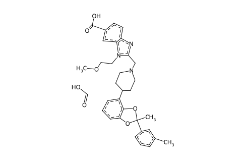 COCCn1c(CN2CCC(c3cccc4c3OC(C)(c3cccc(C)c3)O4)CC2)nc2ccc(C(=O)O)cc21.O=CO